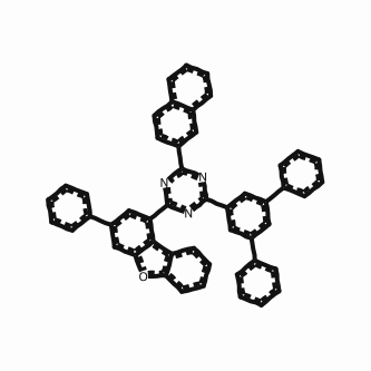 c1ccc(-c2cc(-c3ccccc3)cc(-c3nc(-c4ccc5ccccc5c4)nc(-c4cc(-c5ccccc5)cc5oc6ccccc6c45)n3)c2)cc1